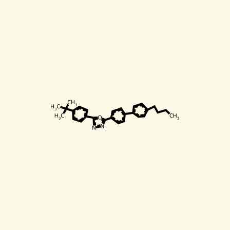 CCCCc1ccc(-c2ccc(-c3nnc(-c4ccc(C(C)(C)C)cc4)o3)cc2)cc1